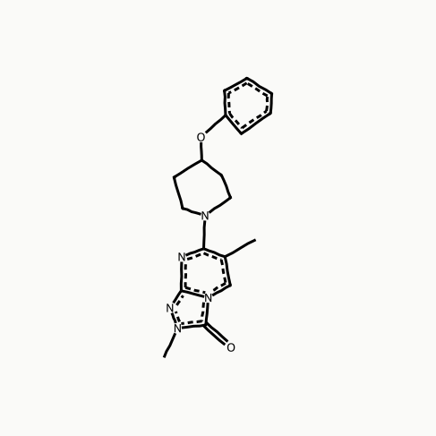 Cc1cn2c(=O)n(C)nc2nc1N1CCC(Oc2ccccc2)CC1